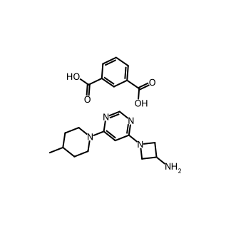 CC1CCN(c2cc(N3CC(N)C3)ncn2)CC1.O=C(O)c1cccc(C(=O)O)c1